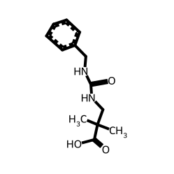 CC(C)(CNC(=O)NCc1ccccc1)C(=O)O